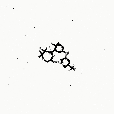 CC1(C)OCC(N)=N[C@](C)(c2cc(Nc3cncc(C(F)(F)F)c3)ccc2F)C1(F)F